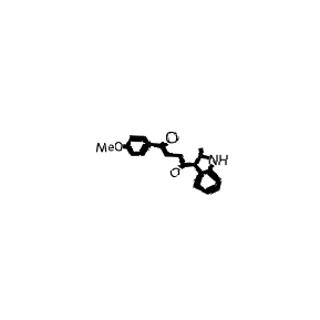 COc1ccc(C(=O)CCC(=O)C2c3ccccc3NC2C)cc1